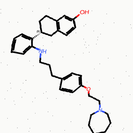 Oc1ccc2c(c1)CC[C@@H](c1ccccc1NCCCc1ccc(OCCN3CCCCCC3)cc1)C2